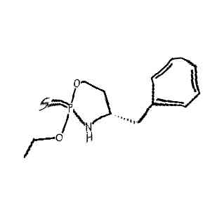 CCOP1(=S)N[C@@H](Cc2ccccc2)CO1